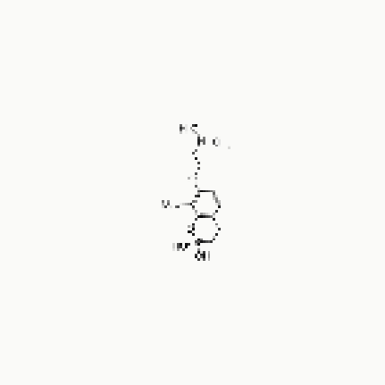 CN(C)CCOc1ccc2c(c1C(=O)O)O[B-](O)(O)CC2